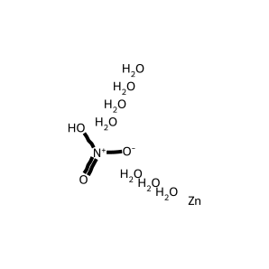 O.O.O.O.O.O.O.O=[N+]([O-])O.[Zn]